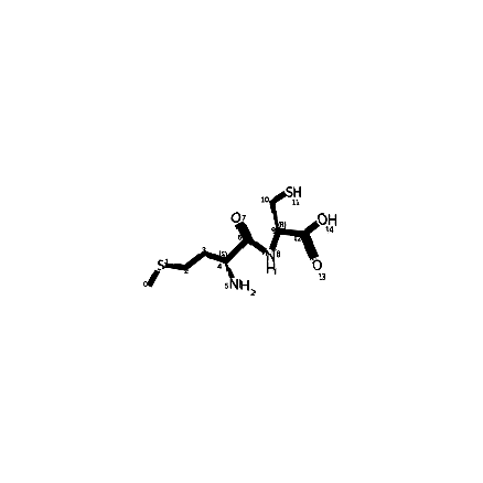 CSCC[C@H](N)C(=O)N[C@@H](CS)C(=O)O